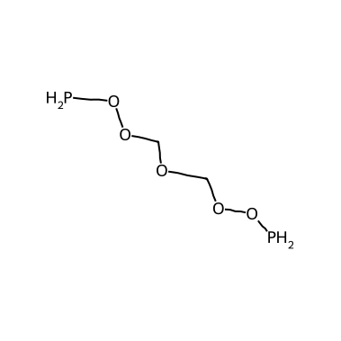 POOCOCOOP